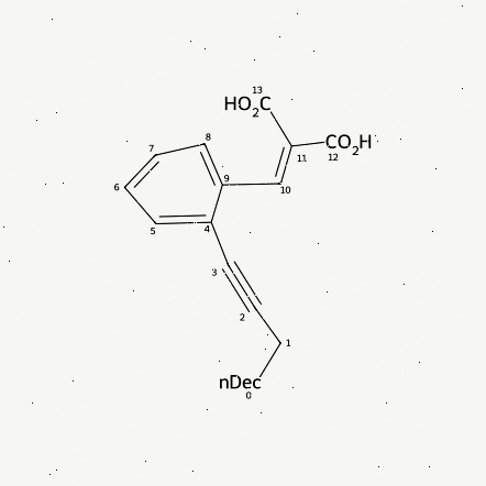 CCCCCCCCCCCC#Cc1ccccc1C=C(C(=O)O)C(=O)O